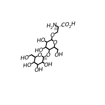 N[C@@H](COC1OC(CO)C(O[C@@H]2OC(CO)C(O)C(O)C2O)C(O)C1O)C(=O)O